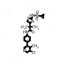 Cc1c(Cl)cncc1-c1ccc(NC(=O)C(C)(C)c2csc(NS(=O)(=O)C3CC3)n2)cc1